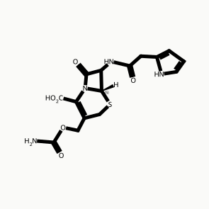 NC(=O)OCC1=C(C(=O)O)N2C(=O)C(NC(=O)Cc3ccc[nH]3)[C@@H]2SC1